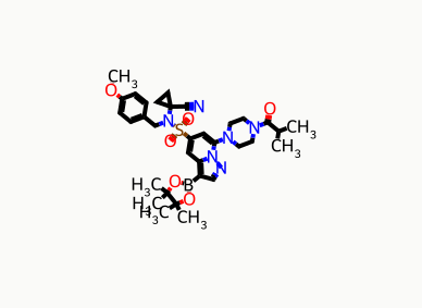 COc1ccc(CN(C2(C#N)CC2)S(=O)(=O)c2cc(N3CCN(C(=O)C(C)C)CC3)n3ncc(B4OC(C)(C)C(C)(C)O4)c3c2)cc1